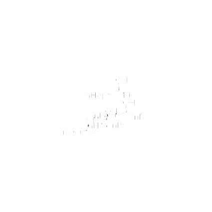 CCCCCC(O)CCCC.CCCCCCC(O)CCC.CCCCCCCC(O)CC.CCCCCCCCC(C)O